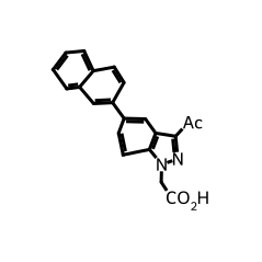 CC(=O)c1nn(CC(=O)O)c2ccc(-c3ccc4ccccc4c3)cc12